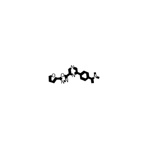 C=C(c1ccc(-c2cncc(-c3nnc(-c4ccco4)o3)n2)cc1)N(C)C